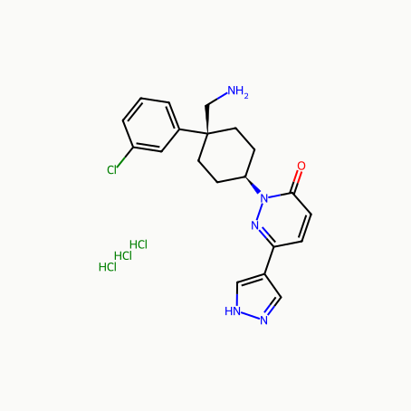 Cl.Cl.Cl.NC[C@]1(c2cccc(Cl)c2)CC[C@H](n2nc(-c3cn[nH]c3)ccc2=O)CC1